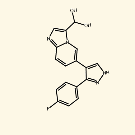 OC(O)c1cnc2ccc(-c3c[nH]nc3-c3ccc(F)cc3)cn12